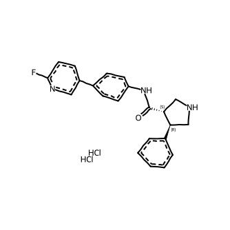 Cl.Cl.O=C(Nc1ccc(-c2ccc(F)nc2)cc1)[C@@H]1CNC[C@H]1c1ccccc1